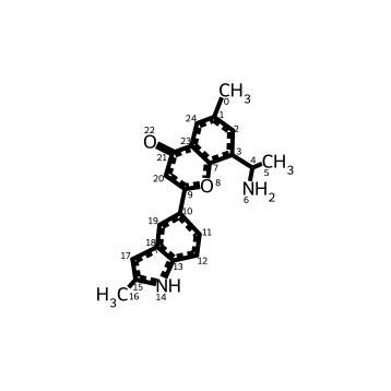 Cc1cc(C(C)N)c2oc(-c3ccc4[nH]c(C)cc4c3)cc(=O)c2c1